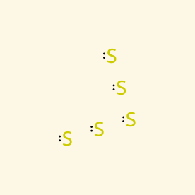 [S].[S].[S].[S].[S]